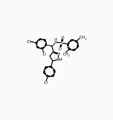 Cc1ccc(C)c(S(=O)(=O)NC(C2=NNC(c3ccc(Cl)cc3)C2)c2ccc(Cl)cc2Cl)c1